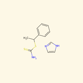 CC(SC(N)=S)c1ccccc1.c1c[nH]cn1